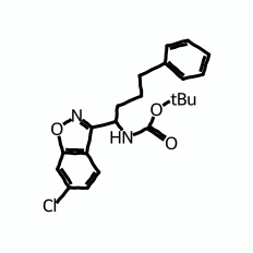 CC(C)(C)OC(=O)NC(CCCc1ccccc1)c1noc2cc(Cl)ccc12